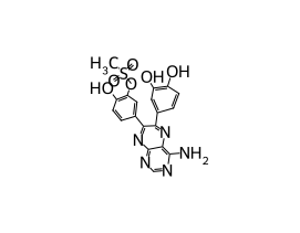 CS(=O)(=O)Oc1cc(-c2nc3ncnc(N)c3nc2-c2ccc(O)c(O)c2)ccc1O